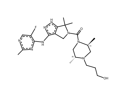 Cc1ncc(F)c(Nc2n[nH]c3c2CN(C(=O)N2C[C@@H](C)N(CCCO)C[C@@H]2C)C3(C)C)n1